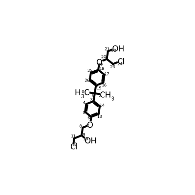 CC(C)(c1ccc(OCC(O)CCl)cc1)c1ccc(OC(CO)CCl)cc1